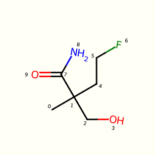 CC(CO)(CCF)C(N)=O